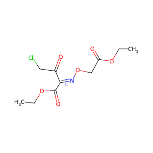 CCOC(=O)CO/N=C(\C(=O)CCl)C(=O)OCC